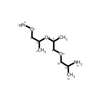 CCCOCC(C)OC(C)COCC(C)N